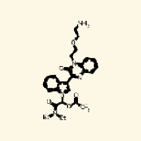 CCN(CC)C(=O)C(OC(=O)C(F)(F)F)n1cc(-c2nc3ccccc3n(CCOCCN)c2=O)c2ccccc21